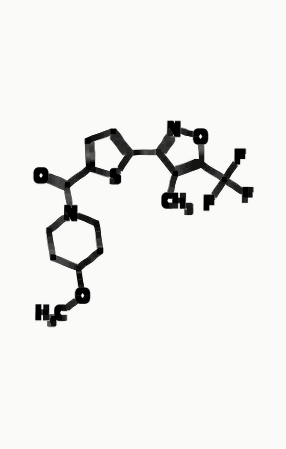 COC1CCN(C(=O)c2ccc(-c3noc(C(F)(F)F)c3C)s2)CC1